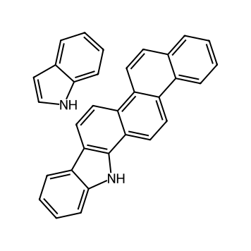 c1ccc2[nH]ccc2c1.c1ccc2c(c1)ccc1c2ccc2c1ccc1c3ccccc3[nH]c12